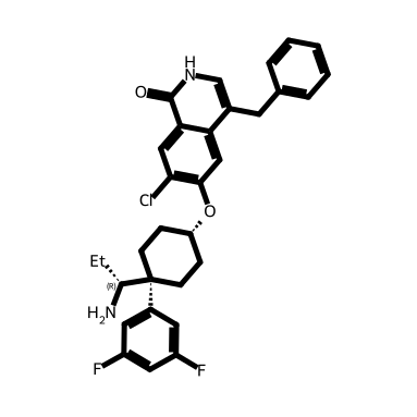 CC[C@@H](N)[C@]1(c2cc(F)cc(F)c2)CC[C@@H](Oc2cc3c(Cc4ccccc4)c[nH]c(=O)c3cc2Cl)CC1